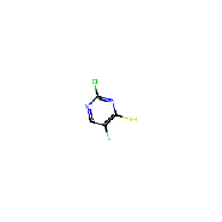 Fc1cnc(Cl)nc1S